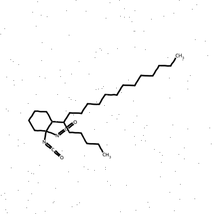 CCCCCCCCCCCCCC(CCCCC)C1CCCCC1(N=C=O)N=C=O